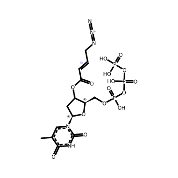 Cc1cn([C@H]2CC(OC(=O)/C=C/CN=[N+]=[N-])[C@@H](COP(=O)(O)OP(=O)(O)OP(=O)(O)O)O2)c(=O)[nH]c1=O